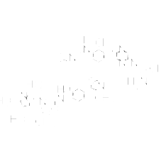 Cc1cc([C@H](C(=O)N2C[C@H](O)C[C@H]2C(=O)NCc2ccc(-c3scnc3C)cc2OC2CCC(C(=O)N3CC(Nc4cccc(Sc5cnc(N6CCC(C)(CN)CC6)cn5)c4Cl)C3)CC2)C(C)C)on1